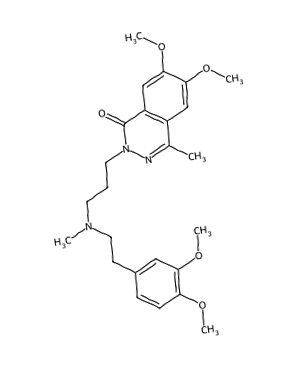 COc1ccc(CCN(C)CCCn2nc(C)c3cc(OC)c(OC)cc3c2=O)cc1OC